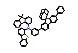 CC1(C)c2ccccc2-c2c(N(c3cccc(-c4ccc5c(c4)C4(c6cc(-c7ccccc7)ccc6-5)C5CC6CC(C5)CC4C6)c3)c3cccc4c3sc3ccccc34)cccc21